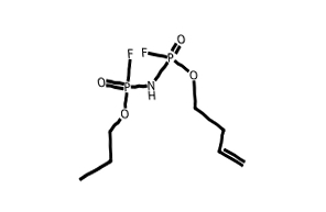 C=CCCOP(=O)(F)NP(=O)(F)OCCC